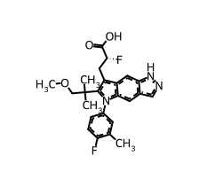 COCC(C)(C)c1c(C[C@@H](F)C(=O)O)c2cc3[nH]ncc3cc2n1-c1ccc(F)c(C)c1